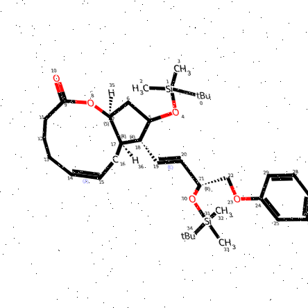 CC(C)(C)[Si](C)(C)OC1C[C@@H]2OC(=O)CCC/C=C\C[C@@H]2[C@H]1/C=C/[C@H](COc1ccccc1)O[Si](C)(C)C(C)(C)C